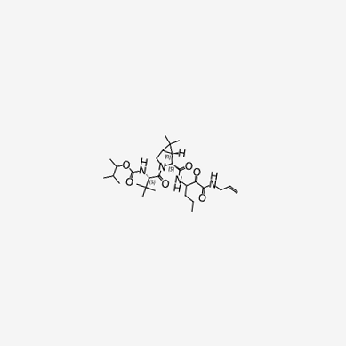 C=CCNC(=O)C(=O)C(CCC)NC(=O)[C@@H]1[C@@H]2C(CN1C(=O)[C@@H](NC(=O)OC(C)C(C)C)C(C)(C)C)C2(C)C